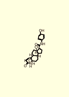 C[C@]12C=CC(=O)N[C@@H]1CC[C@@H]1[C@@H]2CC[C@]2(C)[C@@H](C(=O)Nc3ccc(O)cc3)CC[C@@H]12